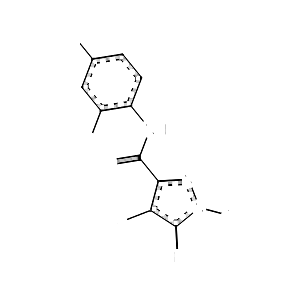 CC(=O)n1nc(C(=O)Nc2ccc(C)cc2Cl)c(Br)c1Br